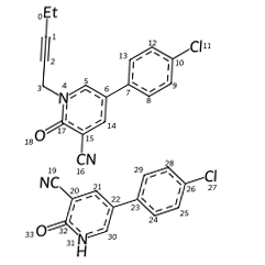 CCC#CCn1cc(-c2ccc(Cl)cc2)cc(C#N)c1=O.N#Cc1cc(-c2ccc(Cl)cc2)c[nH]c1=O